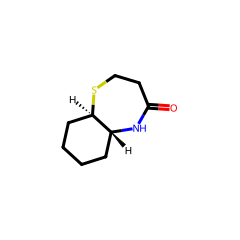 O=C1CCS[C@@H]2CCCC[C@H]2N1